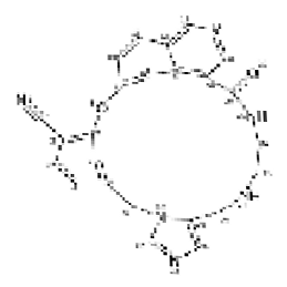 N#Cc1ccc2cc1Oc1ccc3cccc(c3c1)C(=O)NCCNCc1cncn1C2